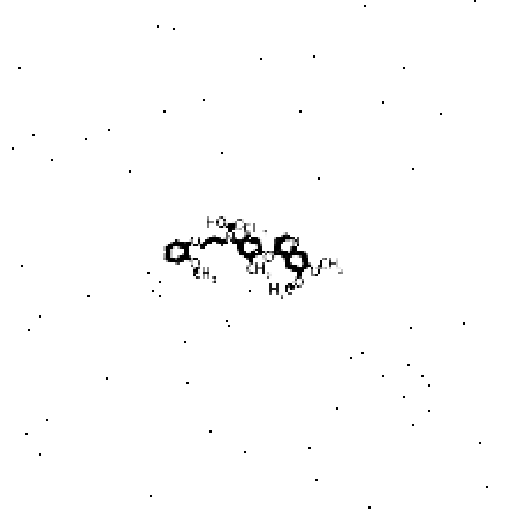 COc1cc2nccc(Oc3cc(C)c(N(CCCOc4ccccc4OC)C(=O)O)cc3C)c2cc1OC